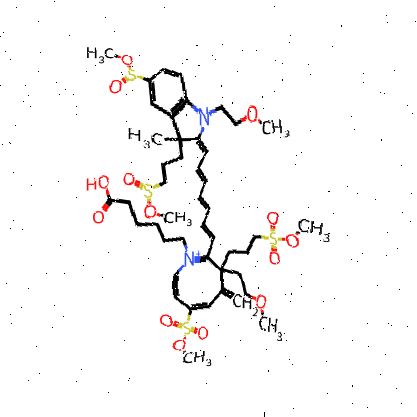 C=C1\C=C(S(=O)(=O)OC)/C=C\[N+](CCCCCC(=O)O)=C(\C=C\C=C\C=C\C=C2\N(CCOC)c3ccc(S(=O)OC)cc3C2(C)CCCS(=O)OC)C1(CCCS(=O)(=O)OC)CCOC